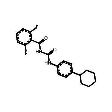 O=C(NC(=O)c1c(F)cccc1F)Nc1ccc(C2CCCCC2)cc1